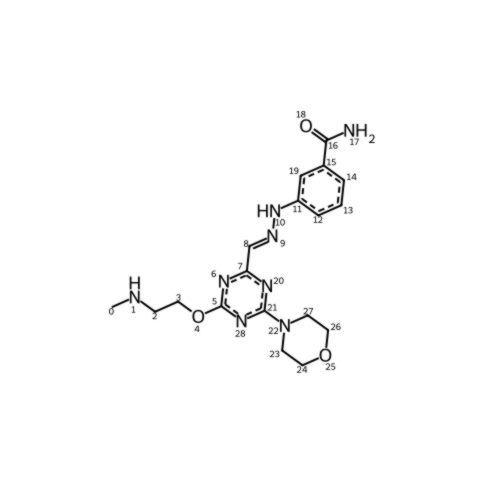 CNCCOc1nc(C=NNc2cccc(C(N)=O)c2)nc(N2CCOCC2)n1